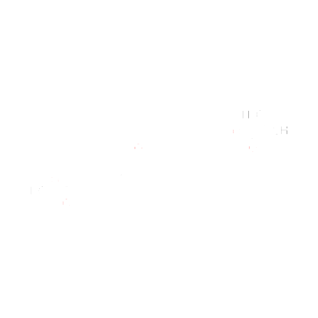 C=C(C)C(=O)OCCCCCCCOc1ccc(/C=C/C(=O)OC)cc1